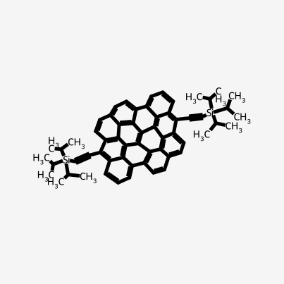 CC(C)[Si](C#Cc1c2cccc3c4ccc5ccc6c(C#C[Si](C(C)C)(C(C)C)C(C)C)c7cccc8c9ccc%10ccc1c1c%10c9c9c(c78)c6c5c4c9c1c23)(C(C)C)C(C)C